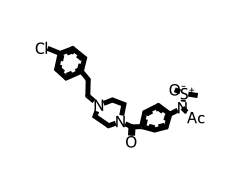 CC(=O)N(c1ccc(C(=O)N2CCN(CCc3ccc(Cl)cc3)CC2)cc1)[S+](C)[O-]